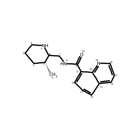 C[C@@H]1CCCNC1CNC(=O)c1cccc2cccnc12